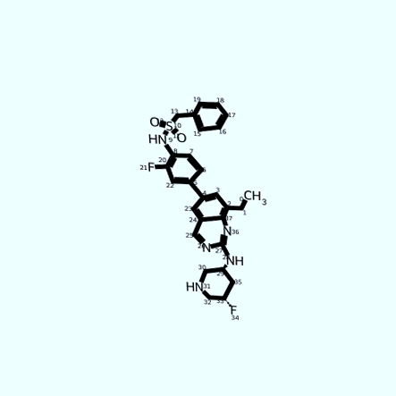 CCc1cc(-c2ccc(NS(=O)(=O)Cc3ccccc3)c(F)c2)cc2cnc(N[C@@H]3CNC[C@@H](F)C3)nc12